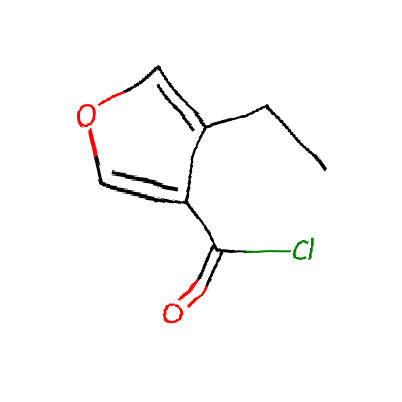 CCc1cocc1C(=O)Cl